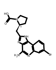 Nc1nc2cc(Br)ccc2c2[nH]c(C[C@@H]3CCCN3C(=O)O)nc12